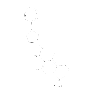 C=N/C(NC1(C)CC1)=C(\C)C(C(=O)NC1CCN(c2ccccn2)C1)=C(C)C